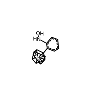 ONc1ccccc1[C]12[CH]3[CH]4[CH]5[CH]1[Fe]45321678[CH]2[CH]1[CH]6[CH]7[CH]28